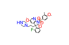 COc1cnc2c(c1)C(CCCN1CCNCC1)(c1ccccc1F)C(=O)N2S(=O)(=O)c1ccc(OC)c(C)c1